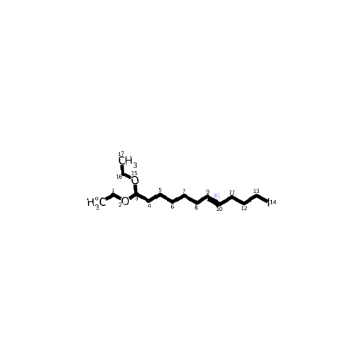 CCOC(CCCCC/C=C/CCCI)OCC